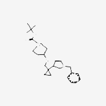 CC(C)(C)OC(=O)N1CCC(NCC2(C3CCN(Cc4ccccc4)C3)CC2)CC1